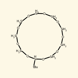 CC(C)(C)[SiH]1O[SiH2]O[SiH2]O[SiH2]O[SiH2]O[SiH2]O[SiH2]O[SiH2]O[SiH2]O1